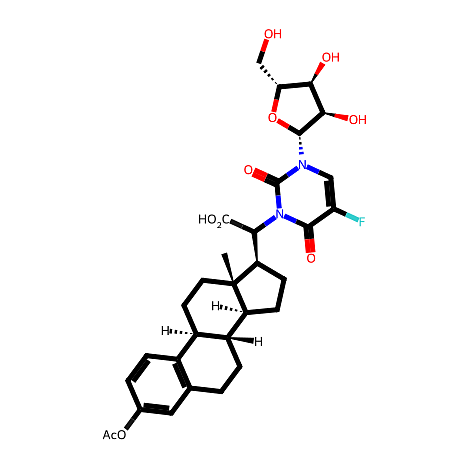 CC(=O)Oc1ccc2c(c1)CC[C@@H]1[C@@H]2CC[C@]2(C)[C@@H](C(C(=O)O)n3c(=O)c(F)cn([C@@H]4O[C@H](CO)[C@@H](O)[C@H]4O)c3=O)CC[C@@H]12